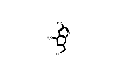 CC1CC(CO)Cc2ncc(N)cc21